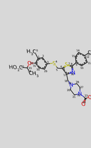 Cc1cc(SCc2sc(-c3ccc(C(F)(F)F)cc3)nc2CN2CCN(C(=O)OC(C)(C)C)CC2)ccc1OC(C)C(=O)O